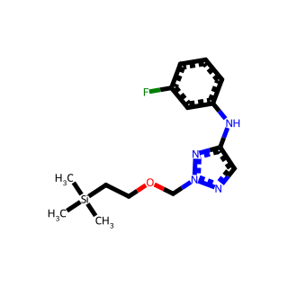 C[Si](C)(C)CCOCn1ncc(Nc2cccc(F)c2)n1